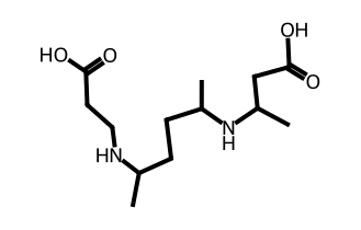 CC(CCC(C)NC(C)CC(=O)O)NCCC(=O)O